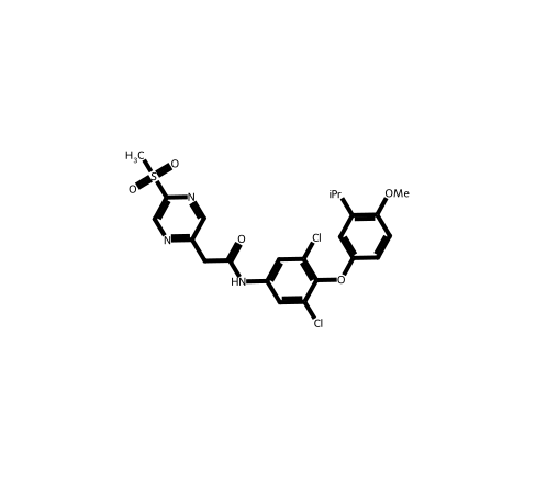 COc1ccc(Oc2c(Cl)cc(NC(=O)Cc3cnc(S(C)(=O)=O)cn3)cc2Cl)cc1C(C)C